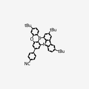 CC(C)(C)c1ccc2c(c1)Oc1cc(-c3ccc(C#N)cc3)cc3c1B2c1cc(C(C)(C)C)cc2c4cc(C(C)(C)C)ccc4n-3c12